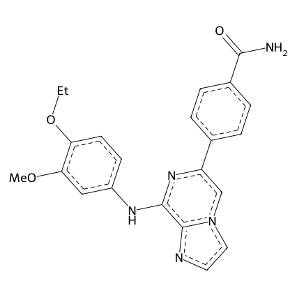 CCOc1ccc(Nc2nc(-c3ccc(C(N)=O)cc3)cn3ccnc23)cc1OC